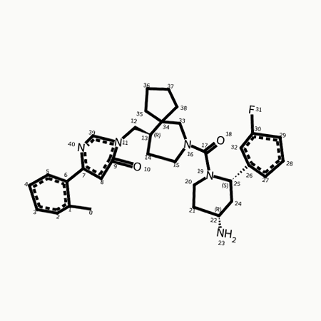 Cc1ccccc1-c1cc(=O)n(C[C@@H]2CCN(C(=O)N3CC[C@@H](N)C[C@H]3c3cccc(F)c3)CC23CCCC3)cn1